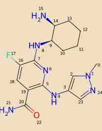 Cn1cc(Nc2nc(N[C@@H]3CCCC[C@@H]3N)c(F)cc2C(N)=O)cn1